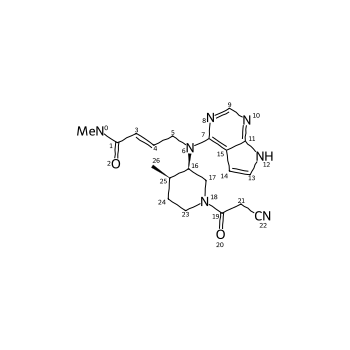 CNC(=O)/C=C/CN(c1ncnc2[nH]ccc12)[C@H]1CN(C(=O)CC#N)CC[C@H]1C